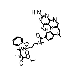 CCOC(=O)[C@H](C)NP(=O)(CCNC(=O)c1ccc(N(C)Cc2cnc3nc(N)nc(N)c3n2)cc1)Oc1ccccc1